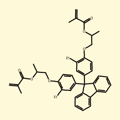 C=C(C)C(=O)OC(C)COc1ccc(C2(c3ccc(OCC(C)OC(=O)C(=C)C)c(CC)c3)c3ccccc3-c3ccccc32)cc1CC